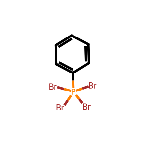 BrP(Br)(Br)(Br)c1ccccc1